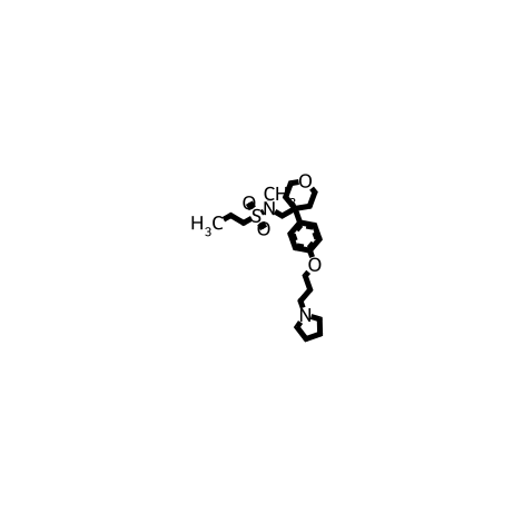 CCCS(=O)(=O)N(C)CC1(c2ccc(OCCCN3CCCC3)cc2)CCOCC1